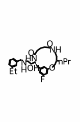 CCCC1CCNC(=O)CCCC(=O)N[C@H]([C@H](O)CNCc2cccc(CC)c2)Cc2cc(F)cc(c2)OC1